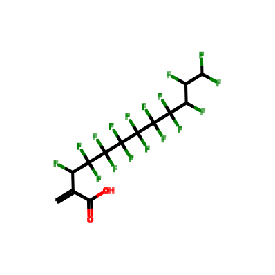 C=C(C(=O)O)C(F)C(F)(F)C(F)(F)C(F)(F)C(F)(F)C(F)(F)C(F)(F)C(F)C(F)C(F)F